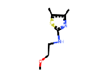 COCCNc1nc(C)c(C)s1